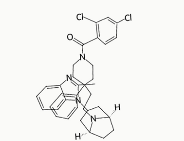 Cc1nc2ccccc2n1C1C[C@H]2CC[C@@H](C1)N2CCC1(c2ccccc2)CCN(C(=O)c2ccc(Cl)cc2Cl)CC1